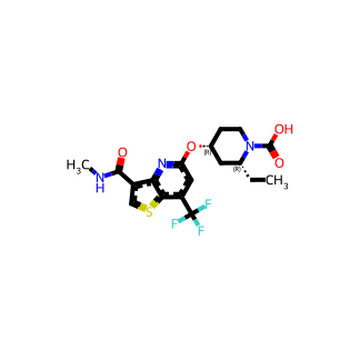 CC[C@@H]1C[C@H](Oc2cc(C(F)(F)F)c3scc(C(=O)NC)c3n2)CCN1C(=O)O